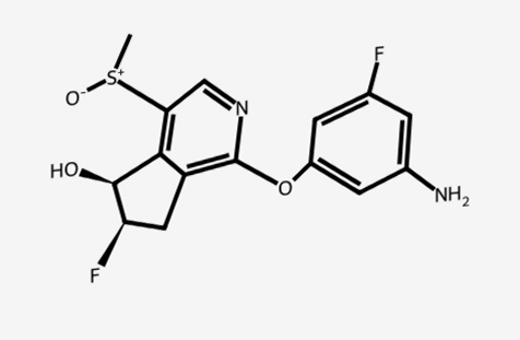 C[S+]([O-])c1cnc(Oc2cc(N)cc(F)c2)c2c1[C@H](O)[C@H](F)C2